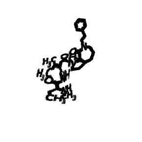 CC[C@H](NC)C(=O)N[C@H](C(=O)N1CCC2CCCN(CCc3ccccc3)C(=O)[C@@H]21)C(C)C